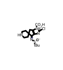 CC(C)(C)[S+]([O-])/N=C1\C2=C(CC13CCNCC3)[SH](C(=O)O)C(Cl)=N2